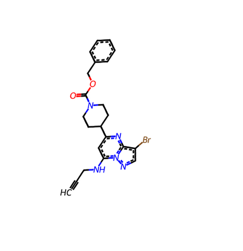 C#CCNc1cc(C2CCN(C(=O)OCc3ccccc3)CC2)nc2c(Br)cnn12